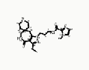 CCc1nn(CCCOC(=O)c2nccn2C)c2c1C(=O)NCC1(CCOCC1)C2